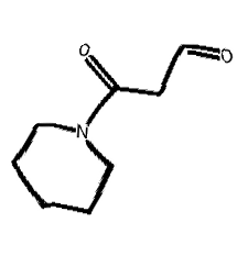 O=CCC(=O)N1CCCCC1